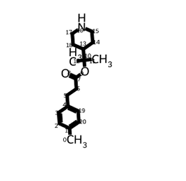 Cc1ccc(CCC(=O)OC(C)(C)C2CCNCC2)cc1